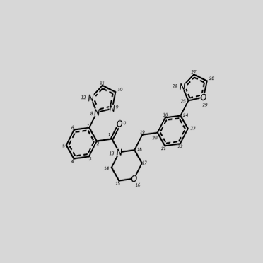 O=C(c1ccccc1-n1nccn1)N1CCOCC1Cc1cccc(-c2ncco2)c1